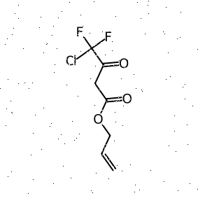 C=CCOC(=O)CC(=O)C(F)(F)Cl